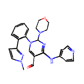 Cn1ccc(-c2ccccc2N2C=C(C=O)C(Nc3ccncc3)=NC2N2CCOCC2)n1